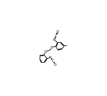 Cc1ccc(OCOc2ccccc2N=C=O)c(N=C=O)c1